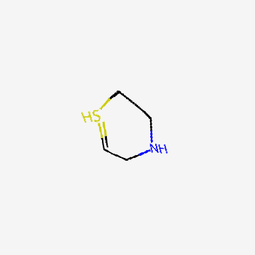 C1=[SH]CCNC1